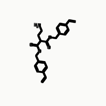 C=Cc1ccc(COC(=O)C(CCN)C(=O)OCc2ccc(C=C)cc2)cc1